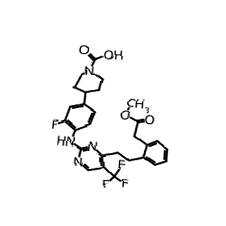 COC(=O)Cc1ccccc1CCc1nc(Nc2ccc(C3CCN(C(=O)O)CC3)cc2F)ncc1C(F)(F)F